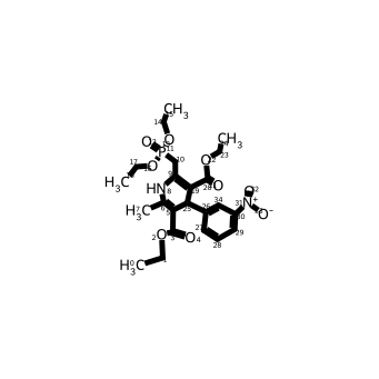 CCOC(=O)C1=C(C)NC(CP(=O)(OCC)OCC)=C(C(=O)OCC)C1c1cccc([N+](=O)[O-])c1